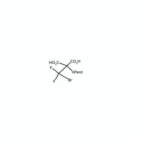 CCCCCC(C(=O)O)(C(=O)O)C(F)(F)Br